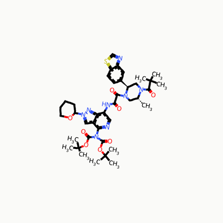 C[C@@H]1CN(C(=O)C(=O)Nc2cnc(N(C(=O)OC(C)(C)C)C(=O)OC(C)(C)C)c3cn(C4CCCCO4)nc23)[C@@H](c2ccc3scnc3c2)CN1C(=O)C(C)(C)C